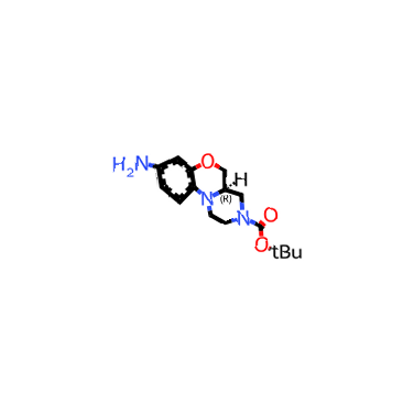 CC(C)(C)OC(=O)N1CCN2c3ccc(N)cc3OC[C@H]2C1